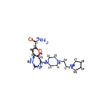 NC(=O)c1cc2ncnc(N3CCN(CCN4CCCC4)CC3)c2o1